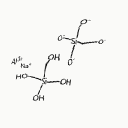 O[Si](O)(O)O.[Al+3].[Na+].[O-][Si]([O-])([O-])[O-]